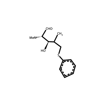 CN[C@H]([C]=O)[C@H](O)C(C)CSc1ccccc1